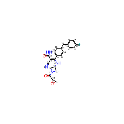 N#Cc1c(NC2CN(C(=O)C3CO3)C2)c2ccc(Cc3ccc(F)cc3)cc2[nH]c1=O